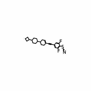 N#CSc1c(F)cc(C#CC2=CCC(C3CCC(C4CCC4)CC3)CC2)cc1F